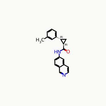 Cc1cccc([C@@H]2C[C@H]2C(=O)Nc2ccc3cnccc3c2)c1